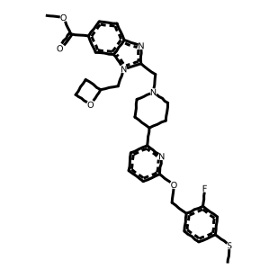 COC(=O)c1ccc2nc(CN3CCC(c4cccc(OCc5ccc(SC)cc5F)n4)CC3)n(CC3CCO3)c2c1